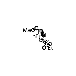 CCCc1c(C(=O)N2CCN(C(=O)C(CC)c3ccccc3)C(C)C2)cnn1-c1nc(-c2cccc(OC)c2)cs1